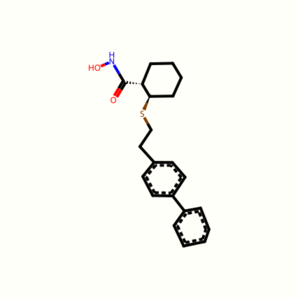 O=C(NO)[C@@H]1CCCC[C@H]1SCCc1ccc(-c2ccccc2)cc1